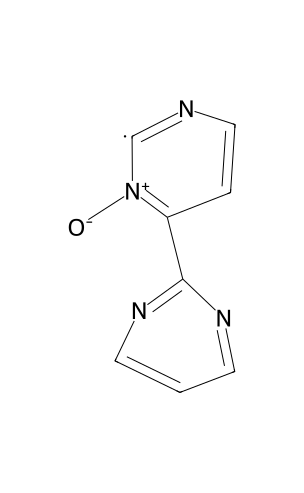 [O-][n+]1[c]nccc1-c1ncccn1